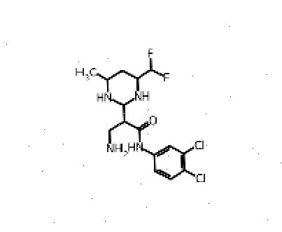 CC1CC(C(F)F)NC(C(CN)C(=O)Nc2ccc(Cl)c(Cl)c2)N1